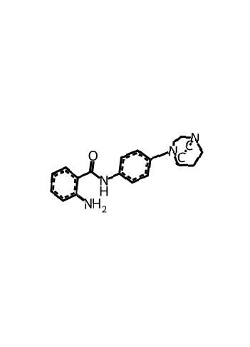 Nc1ccccc1C(=O)Nc1ccc(N2CCN3CCC2CC3)cc1